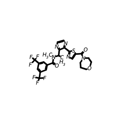 CC(c1nccnc1-c1ncc(C(=O)N2CCCOCC2)s1)N(C)C(=O)c1cc(C(F)(F)F)cc(C(F)(F)F)c1